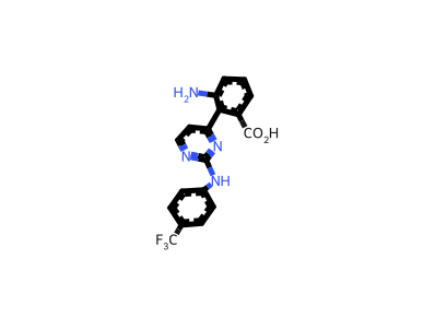 Nc1cccc(C(=O)O)c1-c1ccnc(Nc2ccc(C(F)(F)F)cc2)n1